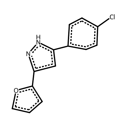 Clc1ccc(-c2cc(-c3ccco3)n[nH]2)cc1